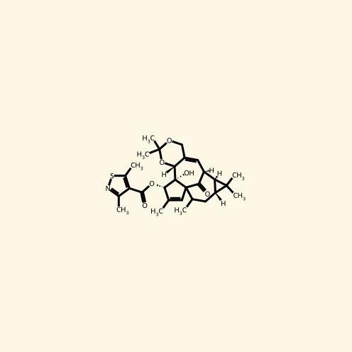 CC1=CC23C(=O)[C@@H](C=C4COC(C)(C)O[C@H]4[C@]2(O)[C@H]1OC(=O)c1c(C)nsc1C)[C@@H]1[C@@H](CC3C)C1(C)C